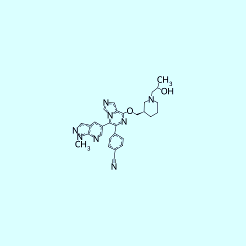 CC(O)CN1CCC[C@@H](COc2nc(-c3ccc(C#N)cc3)c(-c3cnc4c(cnn4C)c3)n3cncc23)C1